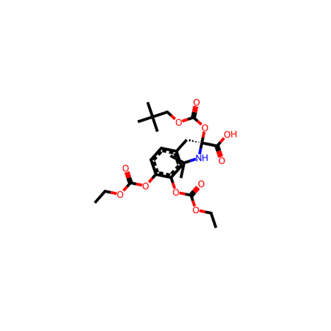 CCOC(=O)Oc1ccc(C[C@](NC(C)C)(OC(=O)OCC(C)(C)C)C(=O)O)cc1OC(=O)OCC